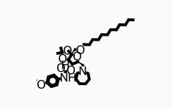 CCCCCCCCCCCCOC[C@@]12O[C@@H](CN3CCCCCC3)[C@@H](OC(=O)Nc3ccc(OC)cc3)[C@@H]1OC(C)(C)O2